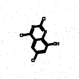 Oc1cc(Cl)cc2c(Cl)nc(Cl)nc12